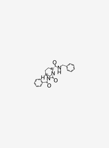 O=C(NCc1ccccc1)[C@H]1CC[C@H]2CN1C(=O)N2C(=O)c1ccccc1